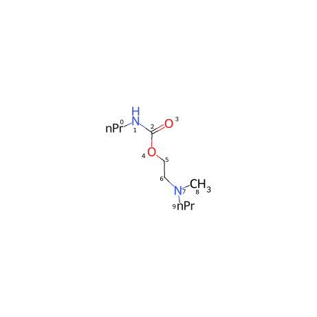 CCCNC(=O)OCCN(C)CCC